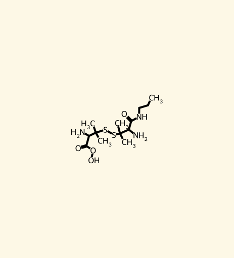 CCCNC(=O)C(N)C(C)(C)SSC(C)(C)C(N)C(=O)OO